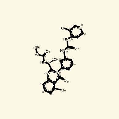 C[C@H](NC(=O)OC(C)(C)C)c1nc2cccc(Cl)c2c(=O)n1-c1cccc(NC(=O)Nc2ccncc2Cl)c1